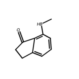 CBc1cccc2c1C(=O)CC2